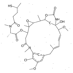 COc1cc2cc(c1Cl)N(C)C(=O)CC(OC(=O)[C@H](C)N(C)C(=O)CCC(C)S)C1(C)OC1C(C)C1CC(O)(NC(=O)O1)C(OC)/C=C/C=C(\C)C2